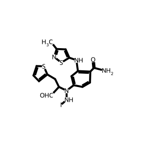 Cc1cc(Nc2cc(N(NI)C(C=O)Cc3cccs3)ccc2C(N)=O)sn1